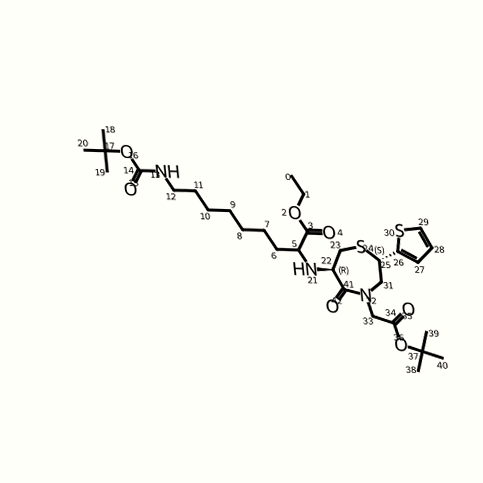 CCOC(=O)C(CCCCCCCNC(=O)OC(C)(C)C)N[C@H]1CS[C@H](c2cccs2)CN(CC(=O)OC(C)(C)C)C1=O